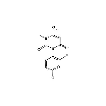 Cn1c(C(F)(F)F)cc(=O)n(-c2c[c]c(Cl)cc2F)c1=O